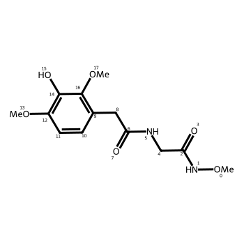 CONC(=O)CNC(=O)Cc1ccc(OC)c(O)c1OC